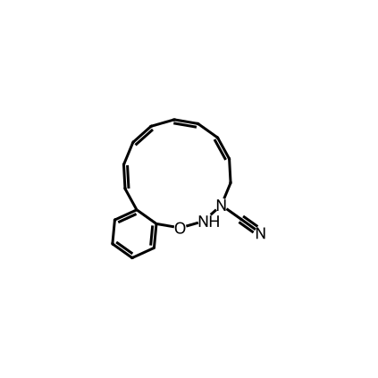 N#CN1C\C=C/C=C\C=C/C=C\c2ccccc2ON1